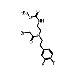 CC(C)(C)OC(=O)NCCN(CCc1ccc(F)c(F)c1)C(=O)CBr